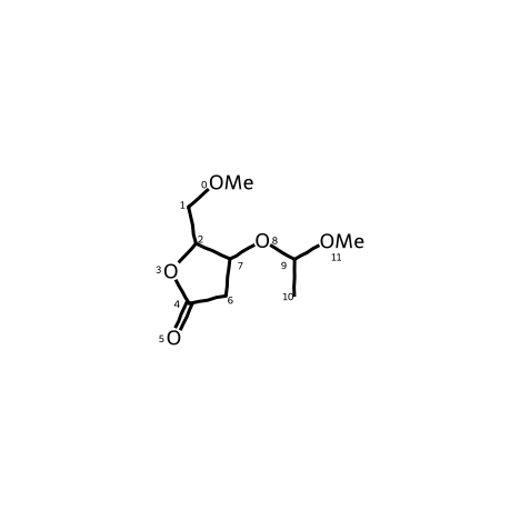 COCC1OC(=O)CC1OC(C)OC